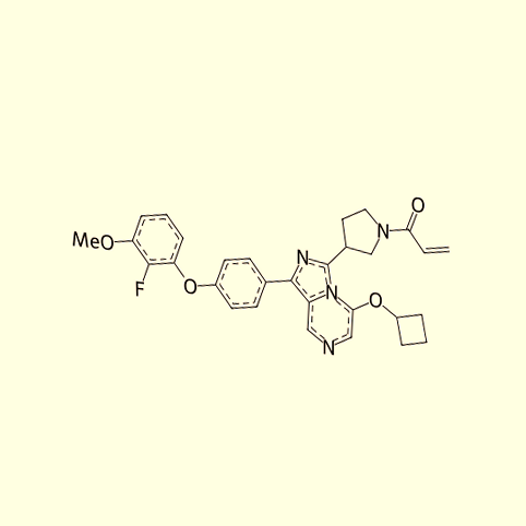 C=CC(=O)N1CCC(c2nc(-c3ccc(Oc4cccc(OC)c4F)cc3)c3cncc(OC4CCC4)n23)C1